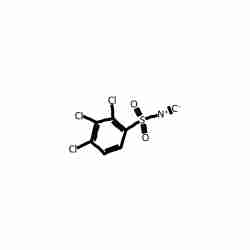 [C-]#[N+]S(=O)(=O)c1ccc(Cl)c(Cl)c1Cl